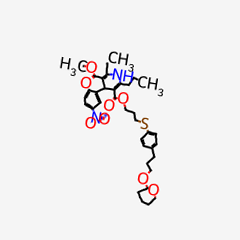 CCCC1=C(C(=O)OCCCSc2ccc(CCCOC3CCCCO3)cc2)C(c2cccc([N+](=O)[O-])c2)C(C(=O)OC)=C(CC)N1